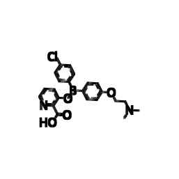 CN(C)CCOc1ccc(B(Oc2cccnc2C(=O)O)c2ccc(Cl)cc2)cc1